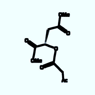 COC(=O)C[C@H](OC(=O)CC(C)=O)C(=O)OC